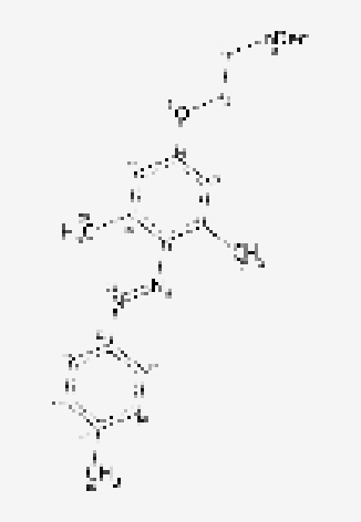 CCCCCCCCCCCCOc1cc(C)c(N=Nc2ccc(C)cc2)c(C)c1